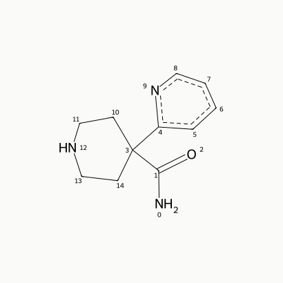 NC(=O)C1(c2ccccn2)CCNCC1